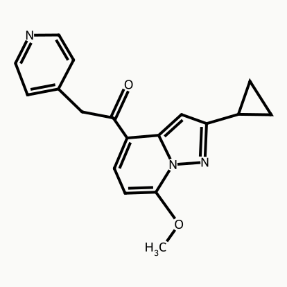 COc1ccc(C(=O)Cc2ccncc2)c2cc(C3CC3)nn12